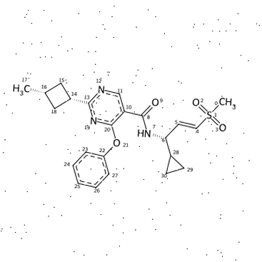 CS(=O)(=O)/C=C/[C@@H](NC(=O)c1cnc([C@H]2C[C@@H](C)C2)nc1Oc1ccccc1)C1CC1